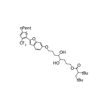 CCCCCc1cc(C(F)(F)F)c(-c2cc3ccc(OCCCC(O)C(O)CCCOC(=O)C(CC(C)(C)C)C(C)(C)C)cc3o2)s1